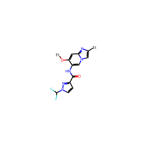 CCOc1cc2nc(CC)cn2cc1NC(=O)c1ccn(C(F)F)n1